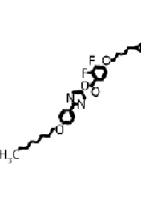 CCCCCCCCOc1ccc(-c2ncc(OC(=O)c3ccc(OCCCCC4CC4)c(F)c3F)cn2)cc1